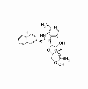 B[PH]1(O)OCC2OC(N3c4ncnc(N)c4NC3SC3=CC4C=CC=C[C@H]4C=C3)C(O)[C@@H]2O1